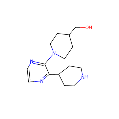 OCC1CCN(c2nccnc2C2CCNCC2)CC1